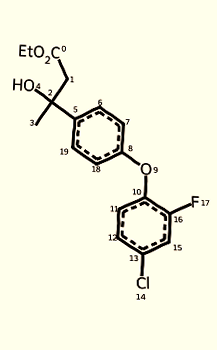 CCOC(=O)CC(C)(O)c1ccc(Oc2ccc(Cl)cc2F)cc1